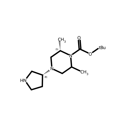 CC1CN([C@@H]2CCNC2)C[C@H](C)N1C(=O)OC(C)(C)C